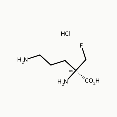 Cl.NCCC[C@](N)(CF)C(=O)O